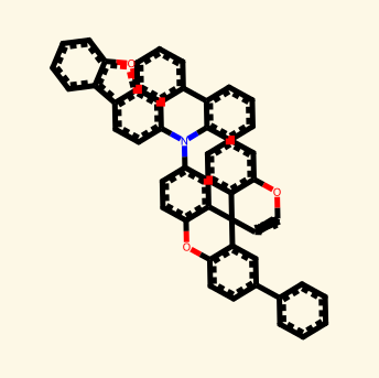 c1ccc(-c2ccc3c(c2)C2(c4ccccc4Oc4ccccc42)c2cc(N(c4ccc5c(c4)oc4ccccc45)c4ccccc4-c4ccccc4)ccc2O3)cc1